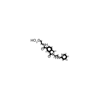 O=C(O)CCNC(=O)c1ccc2c(c1)C(=O)N(CCNc1ccccn1)C2